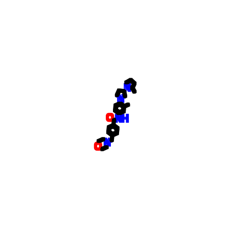 Cc1cc(NC(=O)c2ccc(CN3CCOCC3)cc2)ccc1N1CCC(N2CCCC2C)C1